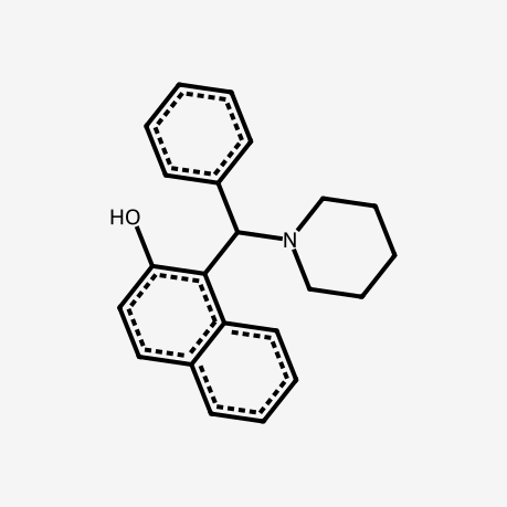 Oc1ccc2ccccc2c1C(c1ccccc1)N1CCCCC1